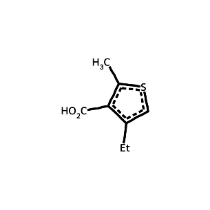 CCc1csc(C)c1C(=O)O